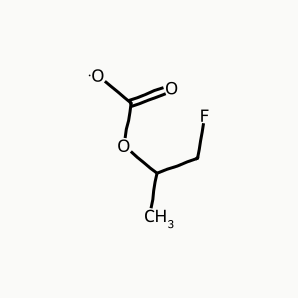 CC(CF)OC([O])=O